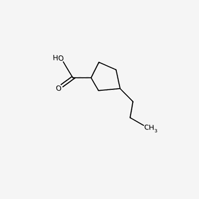 CCCC1CCC(C(=O)O)C1